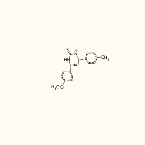 COc1ccc(C2=CC(c3ccc(C)cc3)NC(=S)N2)cc1